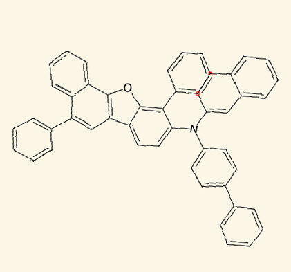 c1ccc(-c2ccc(N(c3ccc4ccccc4c3)c3ccc4c(oc5c6ccccc6c(-c6ccccc6)cc45)c3-c3ccccc3)cc2)cc1